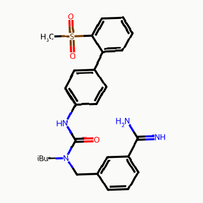 CCC(C)N(Cc1cccc(C(=N)N)c1)C(=O)Nc1ccc(-c2ccccc2S(C)(=O)=O)cc1